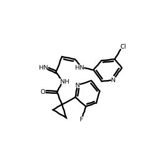 N=C(/C=C\Nc1cncc(Cl)c1)NC(=O)C1(c2ncccc2F)CC1